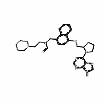 O=CN(CCN1CCCCC1)Cc1ccc(OCC2CCCN2c2ncnc3[nH]cnc23)c2ccccc12